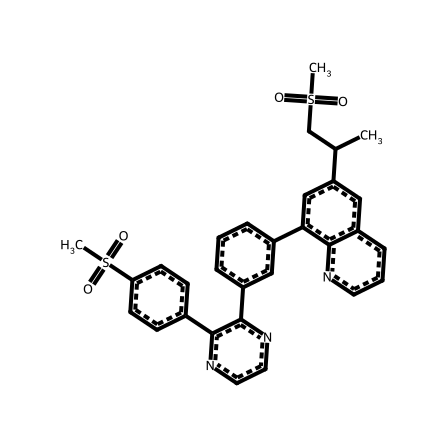 CC(CS(C)(=O)=O)c1cc(-c2cccc(-c3nccnc3-c3ccc(S(C)(=O)=O)cc3)c2)c2ncccc2c1